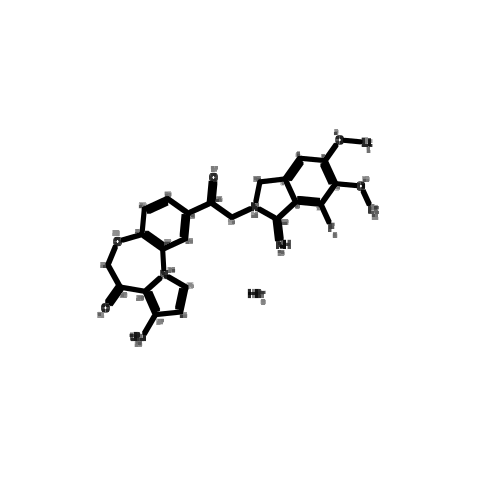 Br.CCOc1cc2c(c(F)c1OCC)C(=N)N(CC(=O)c1ccc3c(c1)-n1ccc(C(C)(C)C)c1C(=O)CO3)C2